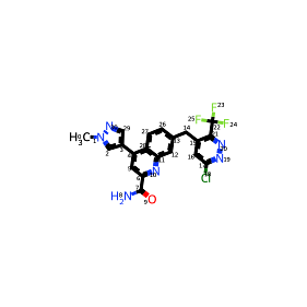 Cn1cc(-c2cc(C(N)=O)nc3cc(Cc4cc(Cl)nnc4C(F)(F)F)ccc23)cn1